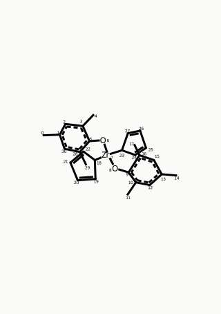 Cc1cc(C)c([O][Zr]([O]c2c(C)cc(C)cc2C)([CH]2C=CC=C2)[CH]2C=CC=C2)c(C)c1